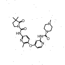 Cc1nc(NC(=O)N2CCC(C)(C)C2=O)ccc1Oc1ccnc(NC(=O)N2CCN(C)CC2)c1